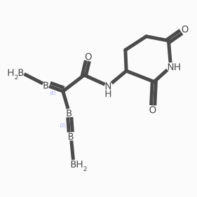 B/B=B\C(=B/B)C(=O)NC1CCC(=O)NC1=O